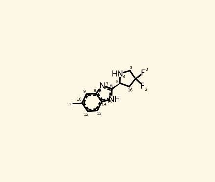 FC1(F)CN[C@H](c2nc3cc(I)ccc3[nH]2)C1